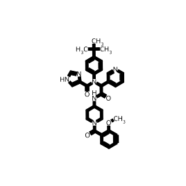 COc1c#cccc1C(=O)N1CCC(NC(=O)C(c2cccnc2)N(C(=O)c2c[nH]cn2)c2ccc(C(C)(C)C)cc2)CC1